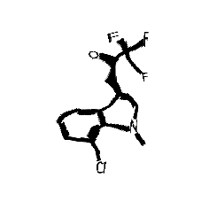 Cn1cc(C(=O)C(F)(F)F)c2cccc(Cl)c21